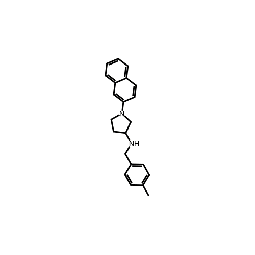 Cc1ccc(CNC2CCN(c3ccc4ccccc4c3)C2)cc1